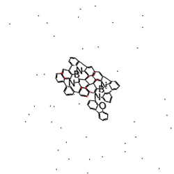 CC1C2=C(C3(C)C4=C1N(c1c(-c5ccccc5)cccc1-c1ccccc1)c1cccc5c1B4n1c4c-5cccc4c4cccc3c41)C1(C)C3=C(C2C)N(c2cccc4c2oc2ccccc24)c2cccc4c2B3n2c3c-4cccc3c3cccc1c32